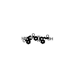 O=C(O)CCCCc1nc2c(nc1-c1ccccc1)CCC(C(=O)N1CCC3(CC1)CNC(=O)c1ccccc13)=C2